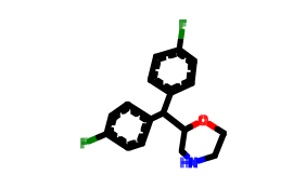 Fc1ccc(C(c2ccc(F)cc2)C2CNCCO2)cc1